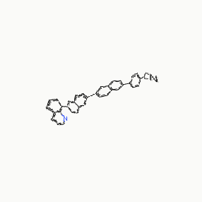 N#Cc1ccc(-c2ccc3cc(-c4ccc5cc(-c6cccc7cccnc67)ccc5c4)ccc3c2)cc1